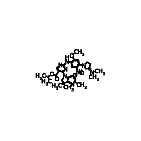 COc1cc(N2CC[C@@H](N(C)C)C2)c([N+](=O)[O-])cc1Nc1ncc(C(=O)OC(C)C)c(N2CC(C)(C)c3nc(C)ccc32)n1